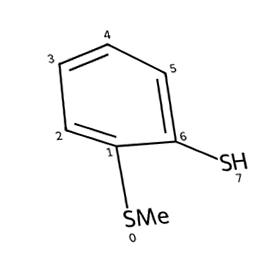 CSc1ccccc1S